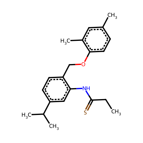 CCC(=S)Nc1cc(C(C)C)ccc1COc1ccc(C)cc1C